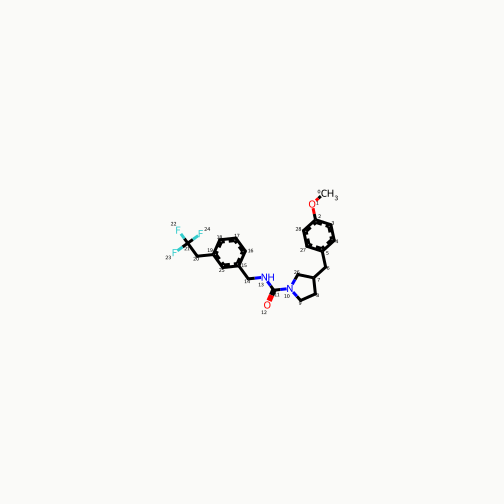 COc1ccc(CC2CCN(C(=O)NCc3cccc(CC(F)(F)F)c3)C2)cc1